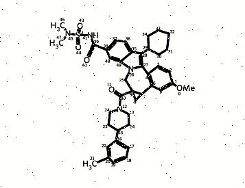 COc1ccc2c(c1)C1CC1(C(=O)N1CCC(c3cccc(C)c3)CC1)Cn1c-2c(C2CCCCC2)c2ccc(C(=O)NS(=O)(=O)N(C)C)cc21